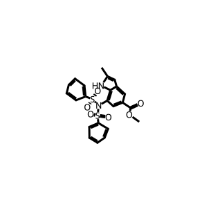 COC(=O)c1cc(N(S(=O)(=O)c2ccccc2)S(=O)(=O)c2ccccc2)c2[nH]c(C)cc2c1